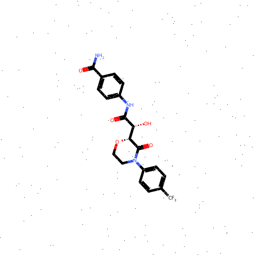 NC(=O)c1ccc(NC(=O)[C@H](O)[C@H]2OCCN(c3ccc(C(F)(F)F)cc3)C2=O)cc1